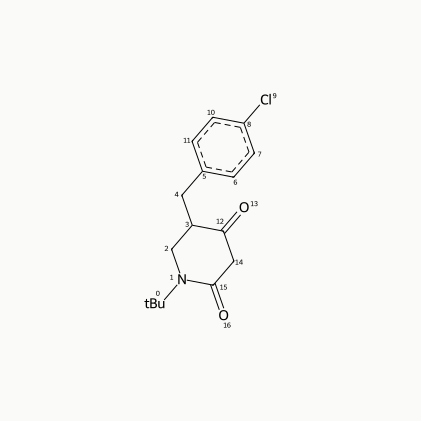 CC(C)(C)N1CC(Cc2ccc(Cl)cc2)C(=O)CC1=O